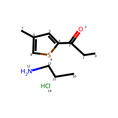 CCC(=O)c1cc(C)cs1.CCCN.Cl